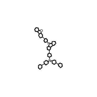 c1ccc(-c2ccc(N(c3ccc(-c4ccccc4)cc3)c3ccc(-c4ccc5c(c4)c4ccccc4n5-c4ccc(-c5ccc6c(c5)oc5ccccc56)cc4)cc3)cc2)cc1